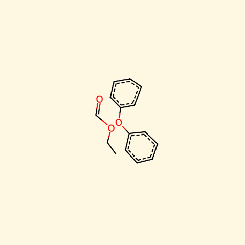 CCOC=O.c1ccc(Oc2ccccc2)cc1